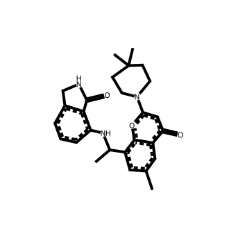 Cc1cc(C(C)Nc2cccc3c2C(=O)NC3)c2oc(N3CCC(C)(C)CC3)cc(=O)c2c1